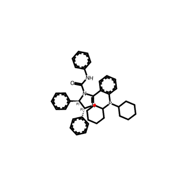 O=C(Nc1ccccc1)N1C(c2ccccc2P(C2CCCCC2)C2CCCCC2)=N[C@H](c2ccccc2)[C@H]1c1ccccc1